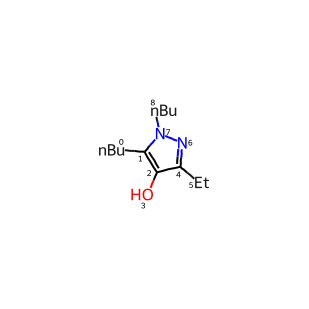 CCCCc1c(O)c(CC)nn1CCCC